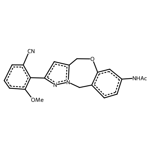 COc1cccc(C#N)c1-c1cc2n(n1)Cc1ccc(NC(C)=O)cc1OC2